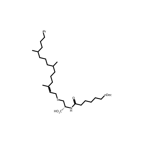 CCCCCCCCCCCCCCCC(=O)N[C@@H](CSCC=C(C)CCCC(C)CCCC(C)CCCC(C)C)C(=O)O